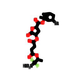 CCC1CC2CC(C)(OC(=O)C3CC(OC(=O)CCC(=O)OC(C)C(F)(F)S(=O)(=O)O)C(=O)O3)C1C2(C)C